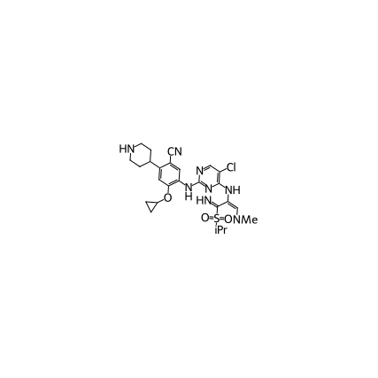 CN/C=C(/Nc1nc(Nc2cc(C#N)c(C3CCNCC3)cc2OC2CC2)ncc1Cl)C(=N)S(=O)(=O)C(C)C